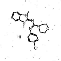 Cn1c(=NC(=Nc2ccc(Cl)cc2)N2CCOCC2)n(C)c2ccccc21.I